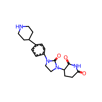 O=C1CCC(N2CCN(c3ccc(C4CCNCC4)cc3)C2=O)C(=O)N1